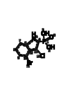 O=P(O)(O)c1[nH]c2cccc(Br)c2c1Cl